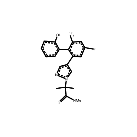 CNC(=O)C(C)(C)n1cc(-c2cc(F)cc(C(F)(F)F)c2-c2ccccc2O)cn1